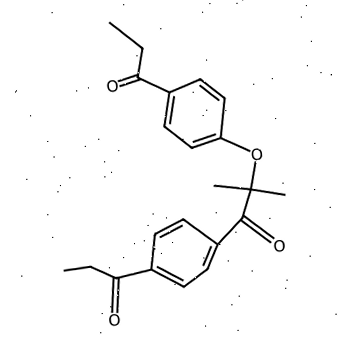 CCC(=O)c1ccc(OC(C)(C)C(=O)c2ccc(C(=O)CC)cc2)cc1